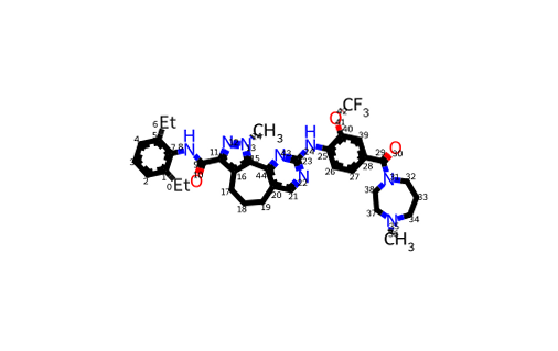 CCc1cccc(CC)c1NC(=O)c1nn(C)c2c1CCCc1cnc(Nc3ccc(C(=O)N4CCCN(C)CC4)cc3OC(F)(F)F)nc1-2